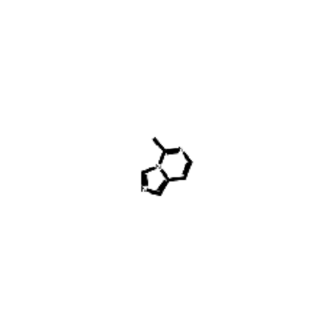 Cc1nccc2cncn12